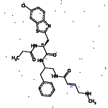 CCC(=O)N[C@@H](Cc1nc2ccc(Cl)cc2s1)C(=O)NC(CNC(=O)/C=C/CNC)Cc1ccccc1